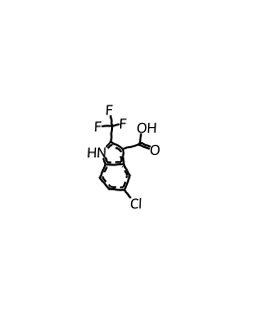 O=C(O)c1c(C(F)(F)F)[nH]c2ccc(Cl)cc12